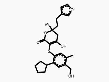 Cc1cc(SC2=C(O)CC(CCc3ccoc3)(C(C)C)OC2=O)c(C2CCCC2)cc1CO